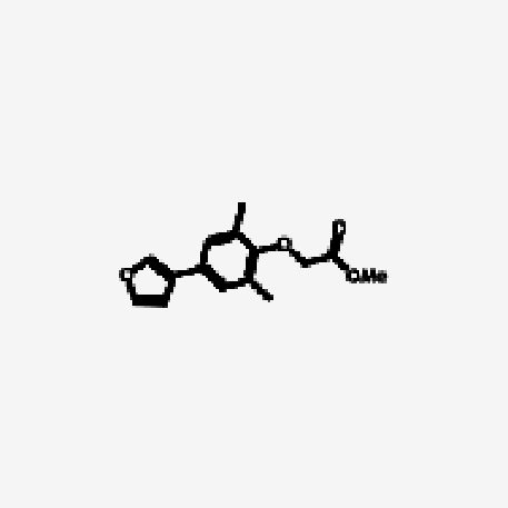 COC(=O)COc1c(C)cc(-c2ccoc2)cc1C